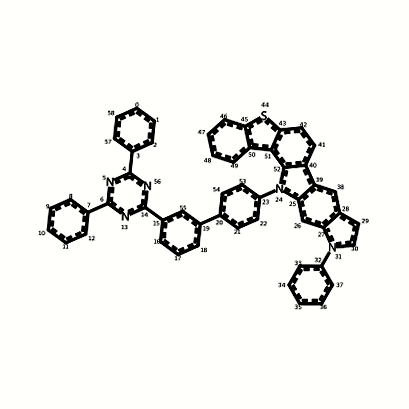 c1ccc(-c2nc(-c3ccccc3)nc(-c3cccc(-c4ccc(-n5c6cc7c(ccn7-c7ccccc7)cc6c6ccc7sc8ccccc8c7c65)cc4)c3)n2)cc1